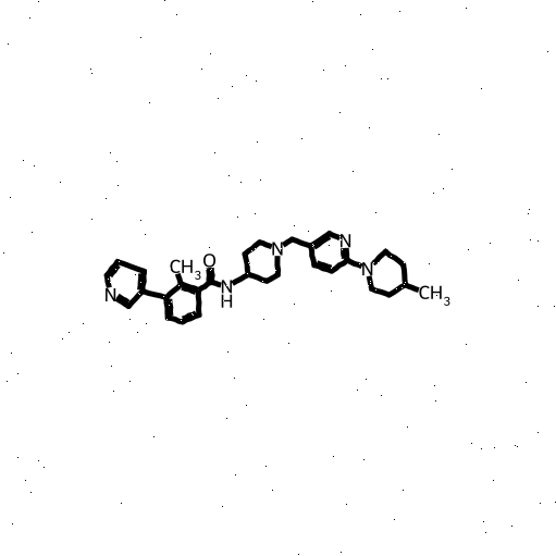 Cc1c(C(=O)NC2CCN(Cc3ccc(N4CCC(C)CC4)nc3)CC2)cccc1-c1cccnc1